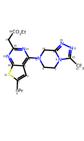 CCCc1cc2c(N3CCn4c(nnc4C(F)(F)F)C3)nc(CC(=O)OCC)nc2s1